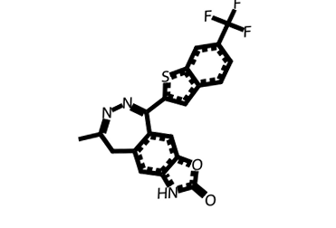 CC1=NN=C(c2cc3ccc(C(F)(F)F)cc3s2)c2cc3oc(=O)[nH]c3cc2C1